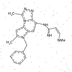 CN/C=C\C(=N)Nc1cc2c(cc(C)n2Cc2ccccc2)n2c(C)nnc12